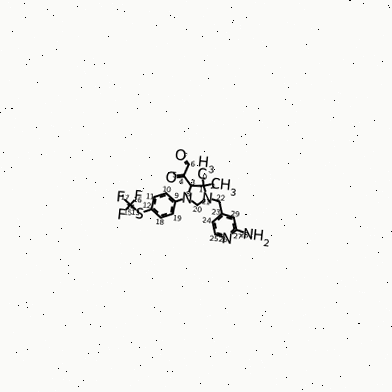 CC1(C)C(C(=O)C=O)N(c2ccc(SC(F)(F)F)cc2)CN1Cc1ccnc(N)c1